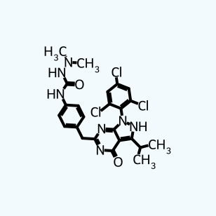 CC(C)c1[nH]n(-c2c(Cl)cc(Cl)cc2Cl)c2nc(Cc3ccc(NC(=O)NN(C)C)cc3)nc(=O)c1-2